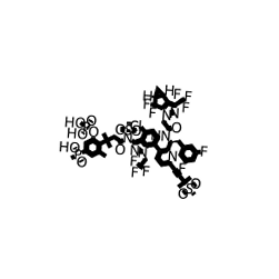 Cc1cc(P(C)(=O)O)cc(OP(=O)(O)O)c1C(C)(C)CC(=O)N(c1nn(CC(F)(F)F)c2c(-c3ccc(C#CC(C)(C)S(C)(=O)=O)nc3[C@H](Cc3cc(F)cc(F)c3)NC(=O)Cn3nc(C(F)(F)F)c4c3C(F)(F)[C@@H]3C[C@H]43)ccc(Cl)c12)S(C)(=O)=O